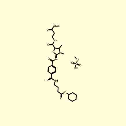 COC(=O)CCNC(=O)C1SC(=NC(=O)c2ccc(C(=N)NCCCC(=O)OC3CCCCC3)cc2)N(C)C1C.COS(=O)(=O)O